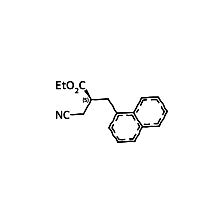 CCOC(=O)[C@H](CC#N)Cc1cccc2ccccc12